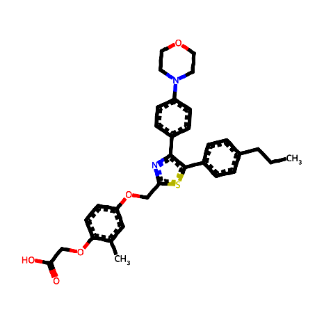 CCCc1ccc(-c2sc(COc3ccc(OCC(=O)O)c(C)c3)nc2-c2ccc(N3CCOCC3)cc2)cc1